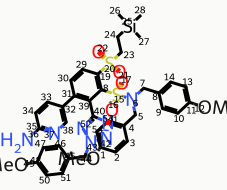 COc1ccc(CN(Cc2ccc(OC)cc2)S(=O)(=O)c2c(S(=O)(=O)CC[Si](C)(C)C)ccc(-c3ccc(N)nc3)c2-c2nnn(Cc3ccc(OC)cc3)n2)cc1